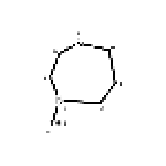 CC(C)(C)N1CCCSCC1